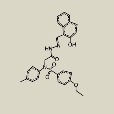 CCOc1ccc(S(=O)(=O)N(CC(=O)NN=Cc2c(O)ccc3ccccc23)c2ccc(C)cc2)cc1